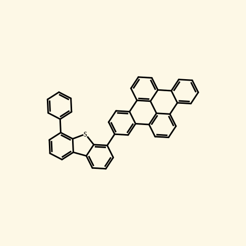 c1ccc(-c2cccc3c2sc2c(-c4ccc5c(c4)c4cccc6c7ccccc7c7cccc5c7c64)cccc23)cc1